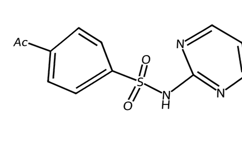 CC(=O)c1ccc(S(=O)(=O)Nc2ncccn2)cc1